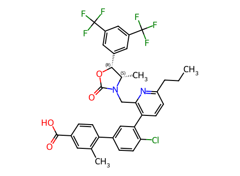 CCCc1ccc(-c2cc(-c3ccc(C(=O)O)cc3C)ccc2Cl)c(CN2C(=O)O[C@H](c3cc(C(F)(F)F)cc(C(F)(F)F)c3)[C@@H]2C)n1